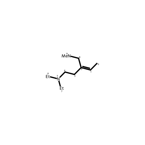 C/C=C(/CCN(CC)CC)CNC